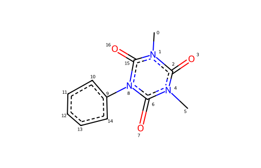 Cn1c(=O)n(C)c(=O)n(-c2ccccc2)c1=O